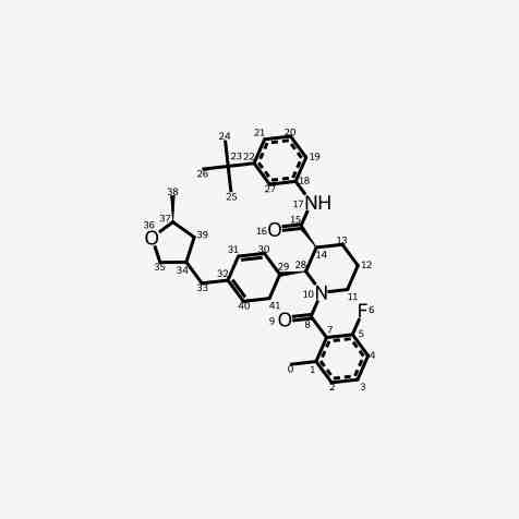 Cc1cccc(F)c1C(=O)N1CCC[C@H](C(=O)Nc2cccc(C(C)(C)C)c2)[C@@H]1C1C=CC(CC2CO[C@@H](C)C2)=CC1